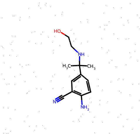 CC(C)(NCCO)c1ccc(N)c(C#N)c1